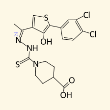 C/C(=N/NC(=S)N1CCC(C(=O)O)CC1)c1csc(-c2ccc(Cl)c(Cl)c2)c1O